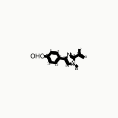 C=C(C)c1nc(-c2ccc(C=O)cc2)cn1C